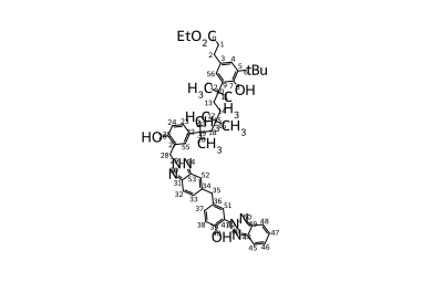 CCOC(=O)CCc1cc(C(C)(C)C)c(O)c(C(C)(C)CCC(C)(C)CC(C)(C)c2ccc(O)c(Cn3nc4ccc(Cc5ccc(O)c(-n6nc7ccccc7n6)c5)cc4n3)c2)c1